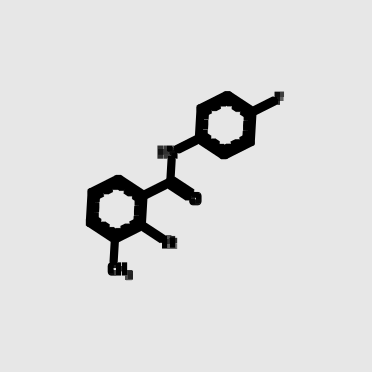 CCc1c(C)cccc1C(=O)Nc1ccc(F)cc1